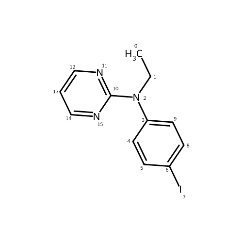 CCN(c1ccc(I)cc1)c1ncccn1